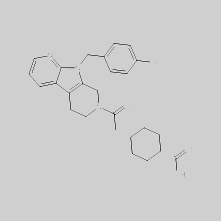 O=C(C[C@H]1CC[C@@H](C(=O)O)CC1)N1CCc2c(n(Cc3ccc(Cl)cc3)c3ncccc23)C1